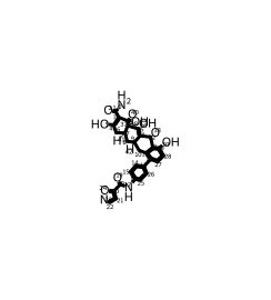 NC(=O)C1=C(O)C[C@@H]2C[C@@H]3Cc4c(-c5ccc(NC(=O)c6ccno6)cc5)ccc(O)c4C(=O)C3=C(O)[C@]2(O)C1=O